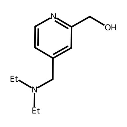 CCN(CC)Cc1ccnc(CO)c1